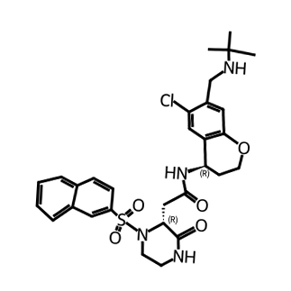 CC(C)(C)NCc1cc2c(cc1Cl)[C@H](NC(=O)C[C@@H]1C(=O)NCCN1S(=O)(=O)c1ccc3ccccc3c1)CCO2